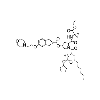 CCCCCCCC[C@H](NC(=O)OC1CCCC1)C(=O)N1C[C@H](OC(=O)N2Cc3ccc(OCCN4CCOCC4)cc3C2)C[C@H]1C(=O)NC1(C(=O)OCC)CC1